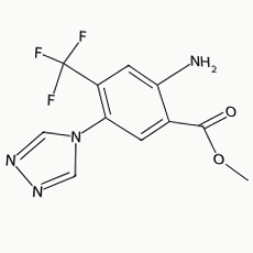 COC(=O)c1cc(-n2cnnc2)c(C(F)(F)F)cc1N